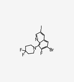 Fc1c(Br)cc2cc(I)cnc2c1N1CCC(F)(F)CC1